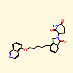 O=C1CCC(N2Cc3c(CCCCCOc4cccc5cnccc45)cccc3C2=O)C(=O)N1